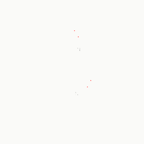 Cc1c(-c2ccccc2)cccc1N(c1ccccc1-c1ccccc1)c1ccc2ccc3c(N(c4ccccc4-c4ccccc4)c4cccc(-c5ccccc5)c4C)ccc4ccc1c2c43